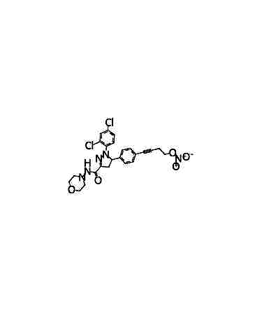 O=C(NN1CCOCC1)C1=NN(c2ccc(Cl)cc2Cl)C(c2ccc(C#CCCO[N+](=O)[O-])cc2)C1